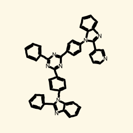 c1ccc(-c2nc(-c3ccc(-n4c(-c5ccccc5)nc5ccccc54)cc3)nc(-c3ccc(-n4c(-c5cccnc5)nc5ccccc54)cc3)n2)cc1